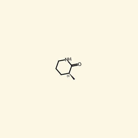 C[C@H]1CCCNC1=O